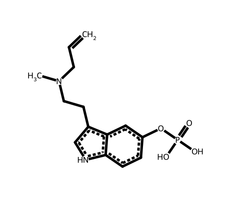 C=CCN(C)CCc1c[nH]c2ccc(OP(=O)(O)O)cc12